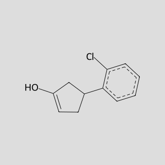 OC1=CCC(c2ccccc2Cl)C1